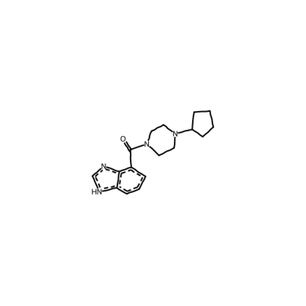 O=C(c1cccc2[nH]cnc12)N1CCN(C2CCCC2)CC1